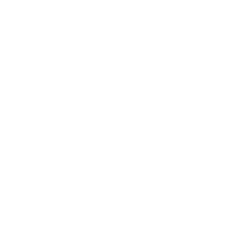 COC(C)OC1CCC(C(=O)Oc2ccc(OC(F)(F)C(F)C(F)(F)F)cc2)CC1